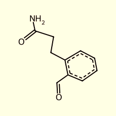 NC(=O)CCc1ccccc1C=O